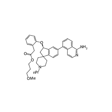 CCCN1CCC2(CC1)C[C@@H](Oc1ccccc1CC(=O)OCCCOC)c1cc(-c3cccc4c(N)nccc34)ccc12